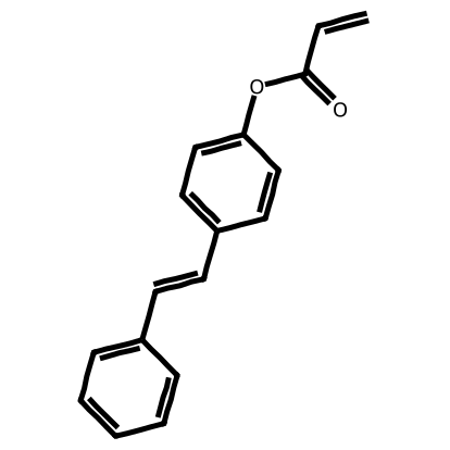 C=CC(=O)Oc1ccc(C=Cc2ccccc2)cc1